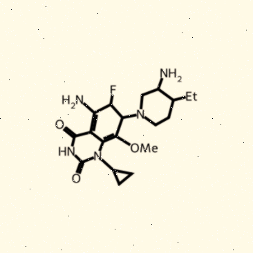 CCC1CCN(C2C(OC)=c3c(c(=O)[nH]c(=O)n3C3CC3)=C(N)C2F)CC1N